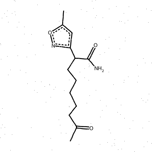 CC(=O)CCCCCC(C(N)=O)c1cc(C)on1